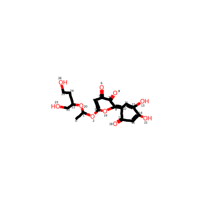 CC(OC1=CC(=O)C(=O)/C(=C2\C=C(O)C(O)=CC2=O)O1)OC(CO)CCO